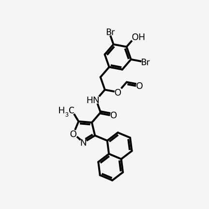 Cc1onc(-c2cccc3ccccc23)c1C(=O)NC(Cc1cc(Br)c(O)c(Br)c1)OC=O